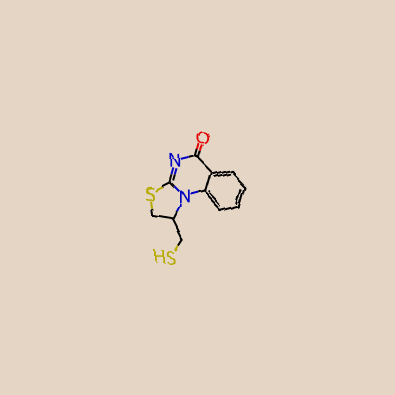 O=c1nc2n(c3ccccc13)C(CS)CS2